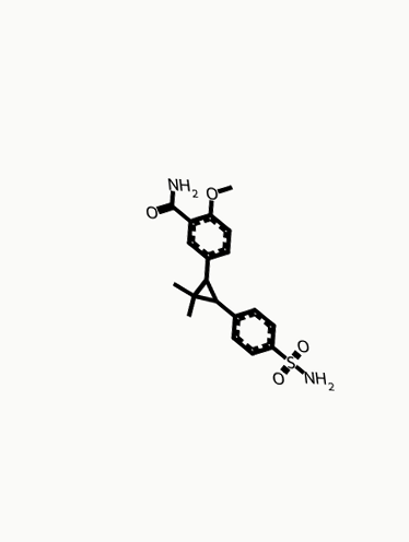 COc1ccc(C2C(c3ccc(S(N)(=O)=O)cc3)C2(C)C)cc1C(N)=O